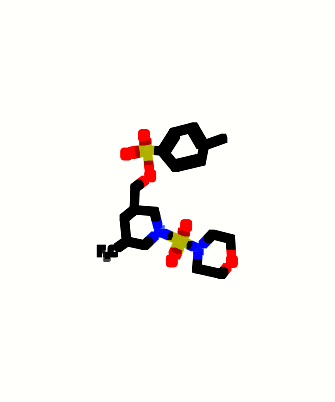 Cc1ccc(S(=O)(=O)OCC2CC(C(F)(F)F)CN(S(=O)(=O)N3CCOCC3)C2)cc1